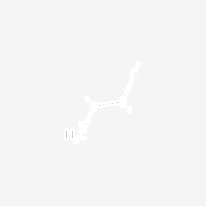 CSSF